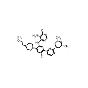 COCCN1CCN(c2cc(Cl)c(-c3ccnc(N4C[C@@H](C)O[C@@H](C)C4)n3)cc2Nc2ncnc(Cl)c2N)CC1